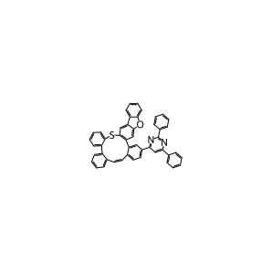 C1=C\c2ccc(-c3cc(-c4ccccc4)nc(-c4ccccc4)n3)cc2-c2cc3oc4ccccc4c3cc2Sc2ccccc2-c2ccccc2/1